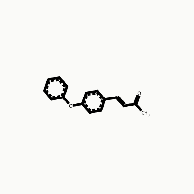 CC(=O)C=Cc1ccc(Oc2ccccc2)cc1